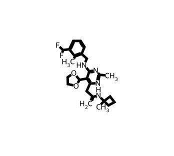 C=C(Cc1nc(C)nc(NCc2cccc(C(F)F)c2C)c1C1OCCO1)NC1(C)CCC1